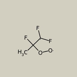 CC(F)(O[O])[C](F)F